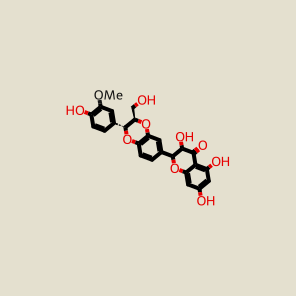 COc1cc([C@H]2Oc3ccc(C4Oc5cc(O)cc(O)c5C(=O)C4O)cc3O[C@@H]2CO)ccc1O